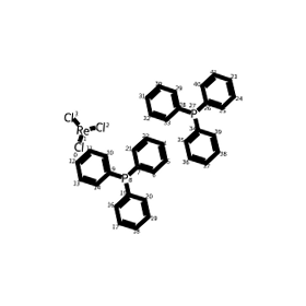 [Cl][Re]([Cl])[Cl].c1ccc(P(c2ccccc2)c2ccccc2)cc1.c1ccc(P(c2ccccc2)c2ccccc2)cc1